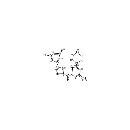 Cc1cc(Nc2ncc(-c3cc(F)cc(F)c3)s2)nc(N2CCOCC2)c1